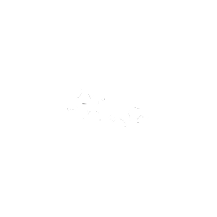 COc1cccc(OC)c1C(=O)N1CC[C@@H](Nc2nc3cc(C)ccc3o2)C1